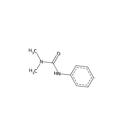 CN(C)C(=O)Nc1cc[c]cc1